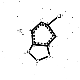 Cl.Clc1ccc2c(c1)SS[N]2